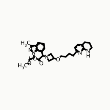 COCCn1nc(C)c2cccc(C(C(=O)O)N3CC(OCCCCc4ccc5c(n4)NCCC5)C3)c21